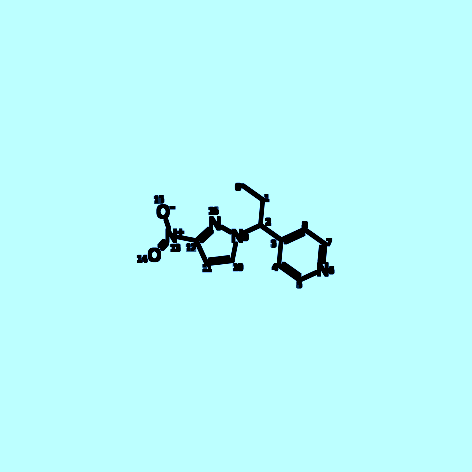 CCC(c1ccncc1)n1ccc([N+](=O)[O-])n1